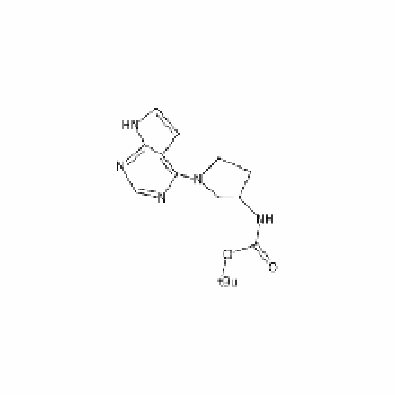 CC(C)(C)OC(=O)NC1CCN(c2ncnc3[nH]ccc23)C1